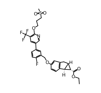 CCOC(=O)[C@H]1[C@@H]2Cc3cc(OCc4cc(-c5cnc(OCCCS(C)(=O)=O)c(C(F)(F)F)c5)ccc4F)ccc3[C@@H]21